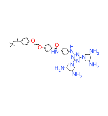 CC(C)(C)CC(C)(C)c1ccc(OCCOc2ccc(C(=O)Nc3ccc(Nc4nc(N5C[C@H](N)C[C@H](N)C5)nc(N5C[C@H](N)C[C@H](N)C5)n4)cc3)cc2)cc1